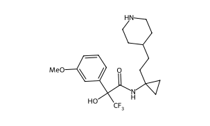 COc1cccc(C(O)(C(=O)NC2(CCC3CCNCC3)CC2)C(F)(F)F)c1